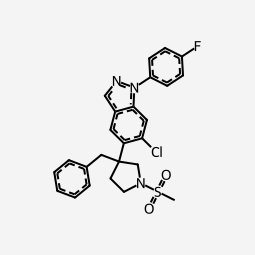 CS(=O)(=O)N1CCC(Cc2ccccc2)(c2cc3cnn(-c4ccc(F)cc4)c3cc2Cl)C1